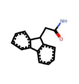 [NH]C(=O)CC1c2ccccc2-c2ccccc21